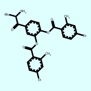 CCc1ccc(C(=O)Oc2ccc(C(=O)C(N)C(C)(C)C)cc2OC(=O)c2ccc(CC)cc2C)c(C)c1